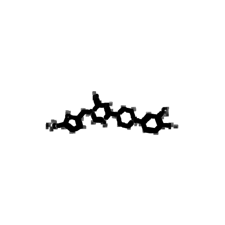 O=c1nc(N2CCN(c3ccc(F)c(Cl)c3)CC2)ncn1Cc1ccc(C(F)(F)F)o1